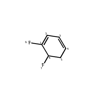 FC1=CC=CCC1F